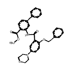 CC(C)(C)OC(=O)c1ccc(-c2ccccc2)cc1NC(=O)c1cc(N2CCOCC2)ccc1OCc1ccccc1